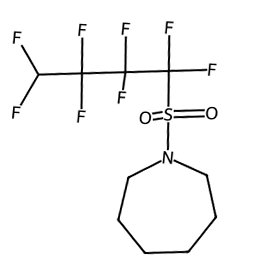 O=S(=O)(N1CCCCCC1)C(F)(F)C(F)(F)C(F)(F)C(F)F